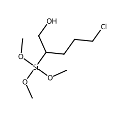 CO[Si](OC)(OC)C(CO)CCCCl